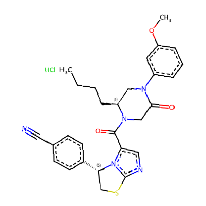 CCCC[C@H]1CN(c2cccc(OC)c2)C(=O)CN1C(=O)c1cnc2n1[C@@H](c1ccc(C#N)cc1)CS2.Cl